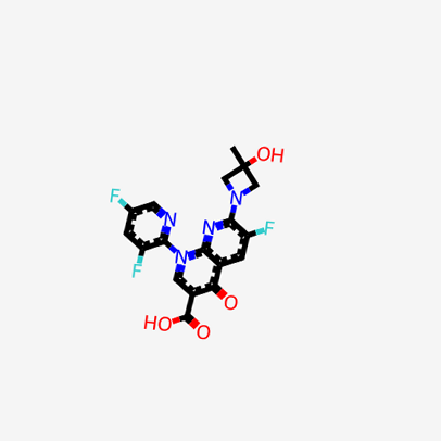 CC1(O)CN(c2nc3c(cc2F)c(=O)c(C(=O)O)cn3-c2ncc(F)cc2F)C1